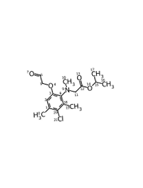 Cc1cc(OCC=O)c(N(C)CC(=O)OC(C)C)c(C)c1Cl